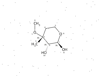 CO[C@]1(C)CCO[C@@H](O)[C@@H]1O